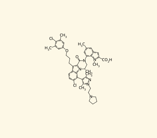 Cc1cc(N2CC(C)n3c(c(CCCOc4cc(C)c(Cl)c(C)c4)c4ccc(Cl)c(-c5c(C)nn(CCN6CCCC6)c5C)c43)C2=O)c2c(c1)cc(C(=O)O)n2C